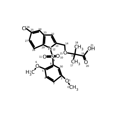 COc1ccc(OC)c(S(=O)(=O)n2c(COC(C)(C)C(=O)O)cc3cc(Cl)ccc32)c1